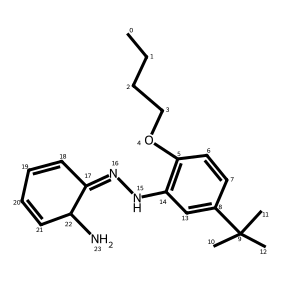 CCCCOc1ccc(C(C)(C)C)cc1N/N=C1/C=CC=CC1N